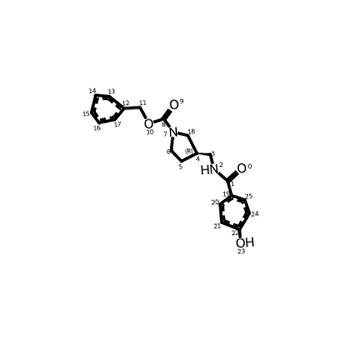 O=C(NC[C@H]1CCN(C(=O)OCc2ccccc2)C1)c1ccc(O)cc1